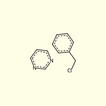 ClCc1ccccc1.c1cncnc1